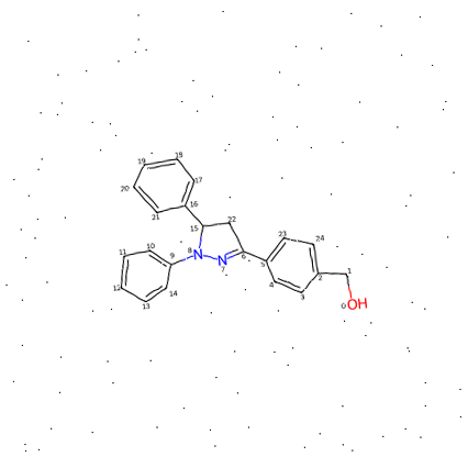 OCc1ccc(C2=NN(c3ccccc3)C(c3ccccc3)C2)cc1